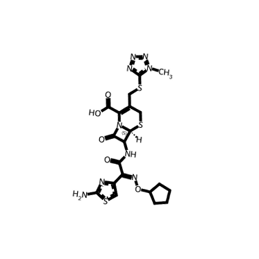 Cn1nnnc1SCC1=C(C(=O)O)N2C(=O)C(NC(=O)C(=NOC3CCCC3)c3csc(N)n3)[C@@H]2SC1